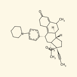 CC#C[C@]1(C(C)=O)CC[C@H]2[C@@H]3CC(C)C4=CC(=O)CCC4=C3[C@@H](c3ccc(N4CCCCC4)cc3)C[C@@]21C